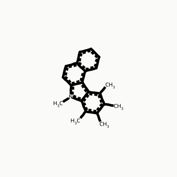 Cc1c(C)c(C)c2c(c1C)c1c3ccccc3ccc1n2C